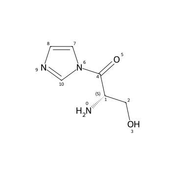 N[C@@H](CO)C(=O)n1ccnc1